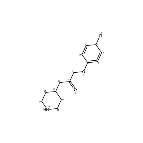 O=C(COC1=C=CC(Cl)C=C1)CC1CCNCC1